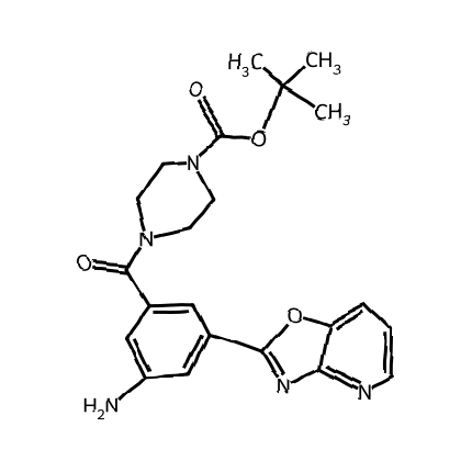 CC(C)(C)OC(=O)N1CCN(C(=O)c2cc(N)cc(-c3nc4ncccc4o3)c2)CC1